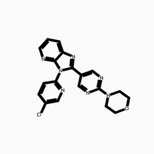 Clc1ccc(-n2c(-c3cnc(N4CCOCC4)nc3)nc3cccnc32)nc1